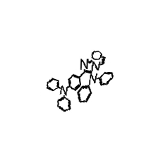 c1ccc(N(c2ccccc2)c2ccc(-c3nc4occn4c3N(c3ccccc3)c3ccccc3)cc2)cc1